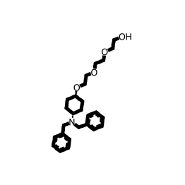 OCCOCCOCCO[C@H]1CC[C@H](N(Cc2ccccc2)Cc2ccccc2)CC1